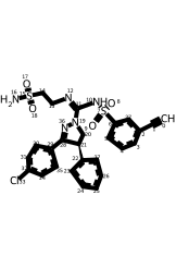 C#Cc1cccc(S(=O)(=O)NC(=NCCS(N)(=O)=O)N2C[C@@H](c3ccccc3)C(c3ccc(Cl)cc3)=N2)c1